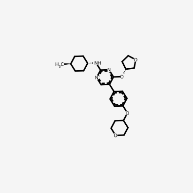 C[C@H]1CC[C@H](Nc2ncc(-c3ccc(OC4CCOCC4)cc3)c(O[C@@H]3CCOC3)n2)CC1